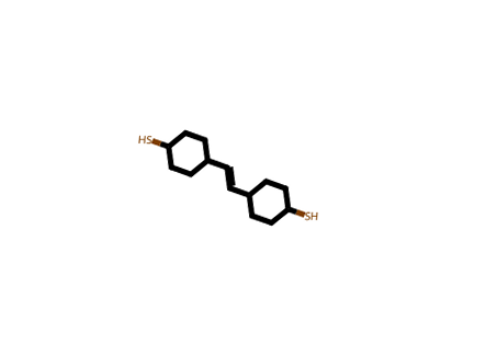 SC1CCC(C=CC2CCC(S)CC2)CC1